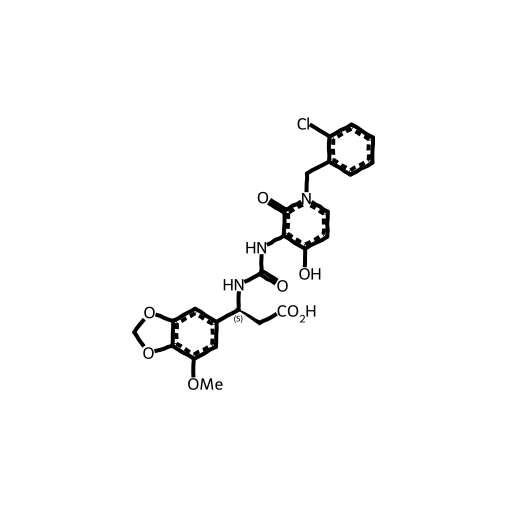 COc1cc([C@H](CC(=O)O)NC(=O)Nc2c(O)ccn(Cc3ccccc3Cl)c2=O)cc2c1OCO2